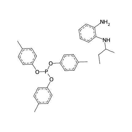 CCC(C)Nc1ccccc1N.Cc1ccc(OP(Oc2ccc(C)cc2)Oc2ccc(C)cc2)cc1